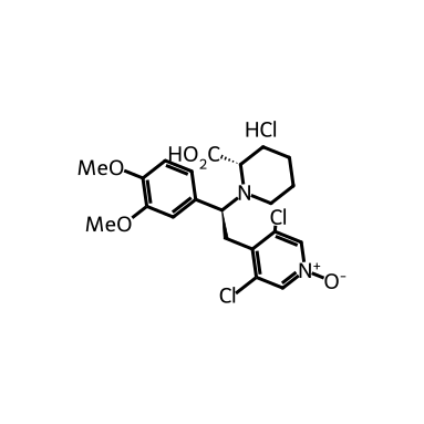 COc1ccc([C@H](Cc2c(Cl)c[n+]([O-])cc2Cl)N2CCCC[C@H]2C(=O)O)cc1OC.Cl